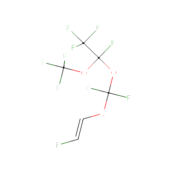 FC=COC(F)(F)OC(F)(OC(F)(F)F)C(F)(F)F